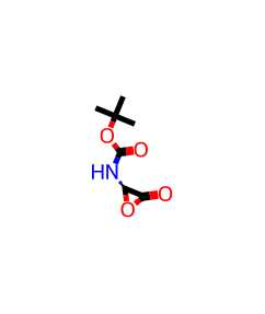 CC(C)(C)OC(=O)N[C@H]1OC1=O